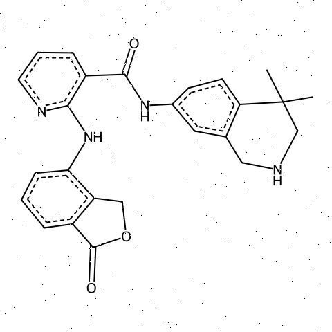 CC1(C)CNCc2cc(NC(=O)c3cccnc3Nc3cccc4c3COC4=O)ccc21